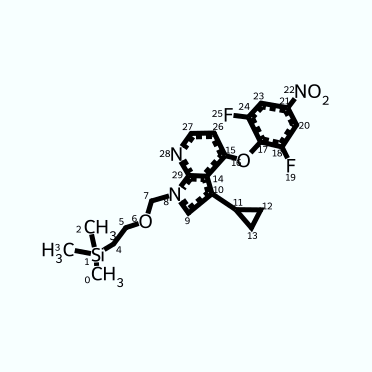 C[Si](C)(C)CCOCn1cc(C2CC2)c2c(Oc3c(F)cc([N+](=O)[O-])cc3F)ccnc21